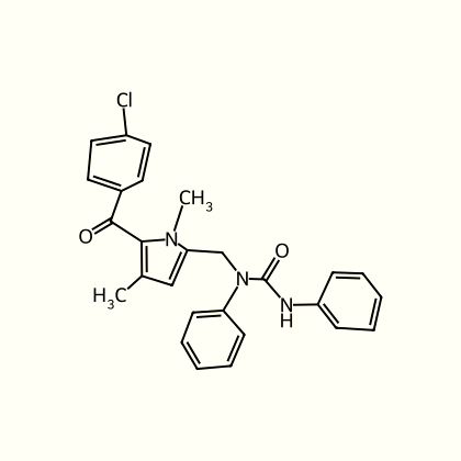 Cc1cc(CN(C(=O)Nc2ccccc2)c2ccccc2)n(C)c1C(=O)c1ccc(Cl)cc1